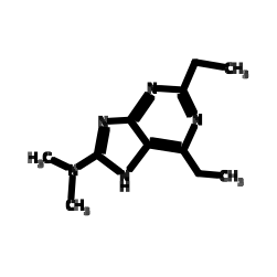 CCc1nc(CC)c2[nH]c(N(C)C)nc2n1